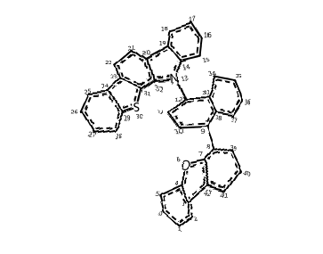 c1ccc2c(c1)oc1c(-c3ccc(-n4c5ccccc5c5ccc6c7ccccc7sc6c54)c4ccccc34)cccc12